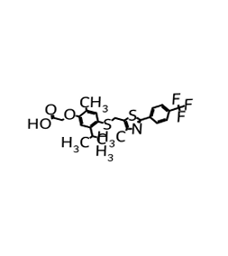 Cc1cc(SCc2sc(-c3ccc(C(F)(F)F)cc3)nc2C)c(C(C)C)cc1OCC(=O)O